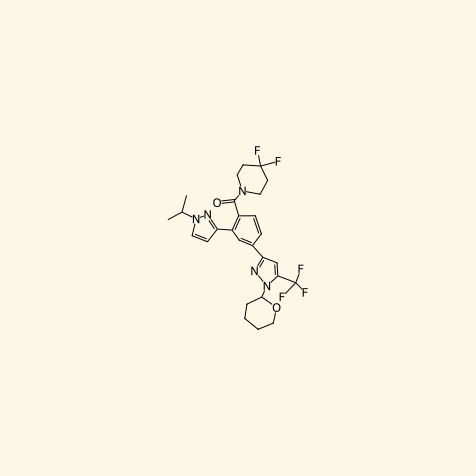 CC(C)n1ccc(-c2cc(-c3cc(C(F)(F)F)n(C4CCCCO4)n3)ccc2C(=O)N2CCC(F)(F)CC2)n1